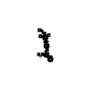 CC(C)(c1ccc(OCc2nn(C3CCCCO3)cc2N)cc1)c1cc(Cl)c(OCCCl)c(Cl)c1